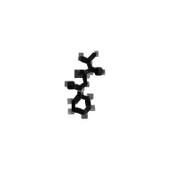 C=C(C)C(=O)NCC(=O)c1[c]cccc1